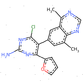 Cc1ncnc2c(C)cc(-c3c(Cl)nc(N)nc3-c3ccco3)cc12